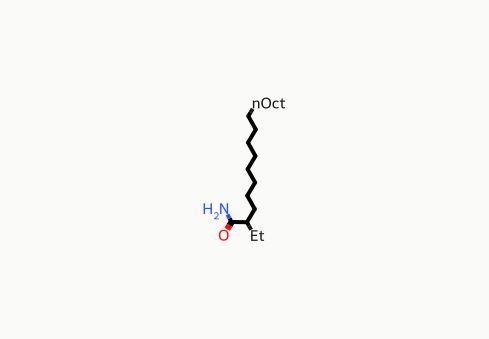 [CH2]CC(CCCCCCCCCCCCCCCC)C(N)=O